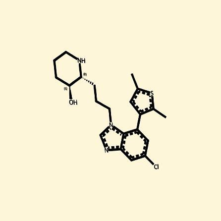 Cc1cc(-c2cc(Cl)cc3ncn(CCC[C@H]4NCCC[C@@H]4O)c23)c(C)s1